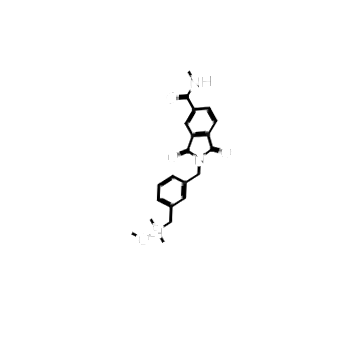 CNC(=O)c1ccc2c(c1)C(=O)N(Cc1cccc(C[Si](C)(C)OC)c1)C2=O